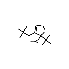 COC1(C(C)(C)C)SSC=C1CC(C)(C)C